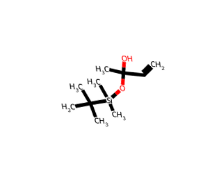 C=CC(C)(O)O[Si](C)(C)C(C)(C)C